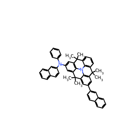 CC1(C)c2cccc3c2N2c4c1cc(-c1ccc5ccccc5c1)cc4C(C)(C)c1cc(N(c4ccccc4)c4ccc5ccccc5c4)cc(c12)C3(C)C